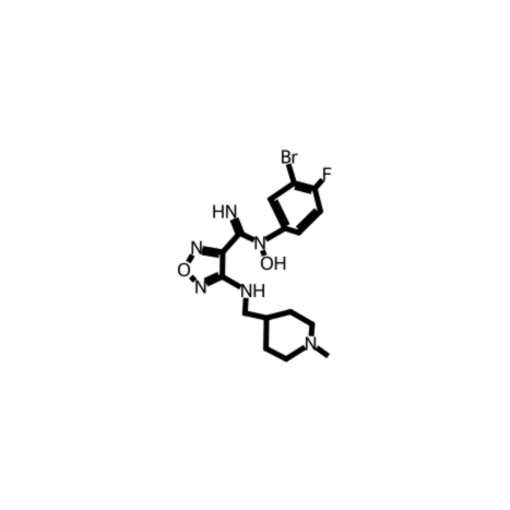 CN1CCC(CNc2nonc2C(=N)N(O)c2ccc(F)c(Br)c2)CC1